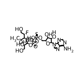 C[C@H](O)C(OC(OP(=O)(O)OP(O)(=S)OCC1OC(n2cnc3c(N)ncnc32)C(O)C1O)[C@H](O)CO)[C@@H](F)CO